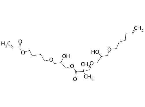 C=CCCCCOCC(O)COCC(C)(C)C(=O)OCC(O)COCCCCOC(=O)C=C